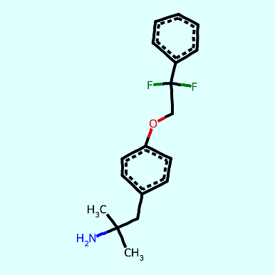 CC(C)(N)Cc1ccc(OCC(F)(F)c2ccccc2)cc1